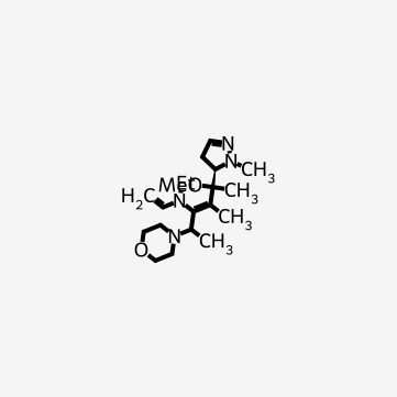 C=CN(CC)/C(=C(/C)C(C)(OC)[C@H]1CC=NN1C)C(C)N1CCOCC1